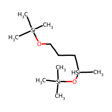 C[SiH](CCCO[Si](C)(C)C)O[Si](C)(C)C